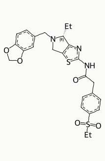 CC[C@@H]1c2nc(NC(=O)Cc3ccc(S(=O)(=O)CC)cc3)sc2CN1Cc1ccc2c(c1)OCO2